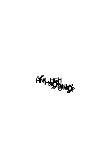 CC(C)NCCCOc1ccc(NC(=O)NCc2ccccc2)cc1.Cl